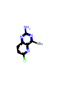 CC(C)(C)c1nc(N)nc2ccc(Cl)nc12